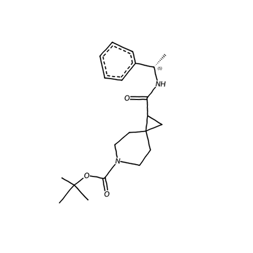 C[C@H](NC(=O)C1CC12CCN(C(=O)OC(C)(C)C)CC2)c1ccccc1